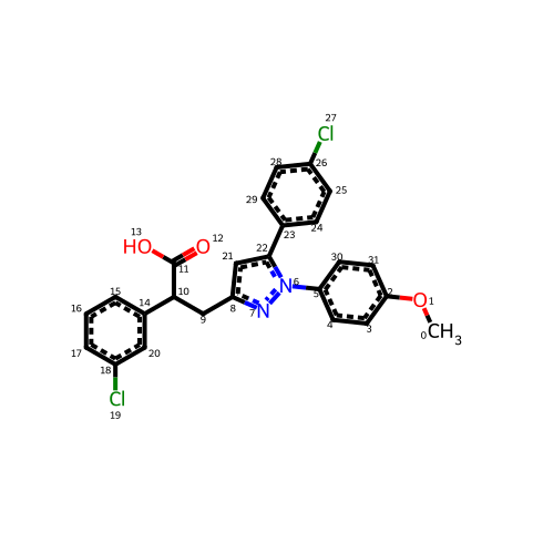 COc1ccc(-n2nc(CC(C(=O)O)c3cccc(Cl)c3)cc2-c2ccc(Cl)cc2)cc1